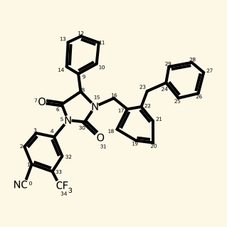 N#Cc1ccc(N2C(=O)C(c3ccccc3)N(Cc3ccccc3Cc3ccccc3)C2=O)cc1C(F)(F)F